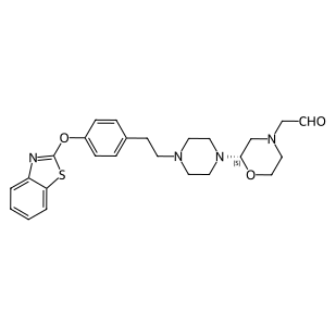 O=CCN1CCO[C@H](N2CCN(CCc3ccc(Oc4nc5ccccc5s4)cc3)CC2)C1